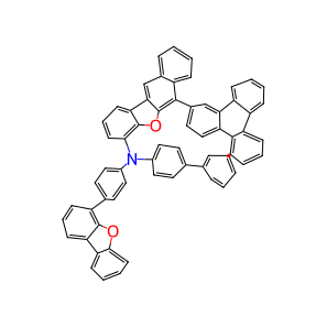 c1ccc(-c2ccc(N(c3ccc(-c4cccc5c4oc4ccccc45)cc3)c3cccc4c3oc3c(-c5ccc6c7ccccc7c7ccccc7c6c5)c5ccccc5cc34)cc2)cc1